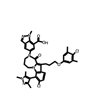 Cc1cc(OCCCc2c3n(c4c(-c5c(C)nn(C)c5C)c(Cl)ccc24)CCCN(c2cc(C(=O)O)c4c(cnn4C)c2)C3=O)cc(C)c1Cl